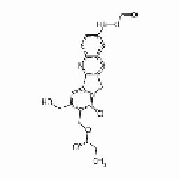 CCC(=O)OCc1c(CO)cc2n(c1=O)Cc1cc3cc(BOC=O)ccc3nc1-2